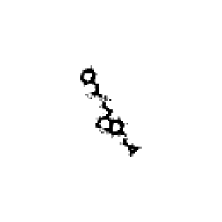 O=C(Cc1ccccc1)NCCC1CCOc2cc(SCC3CC3)ccc21